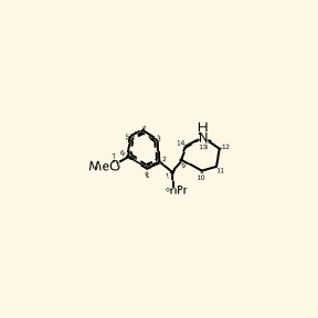 CCCC(c1cccc(OC)c1)C1CCCNC1